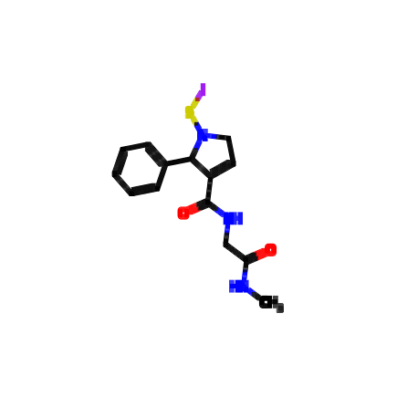 CNC(=O)CNC(=O)C1=CCN(SI)C1c1ccccc1